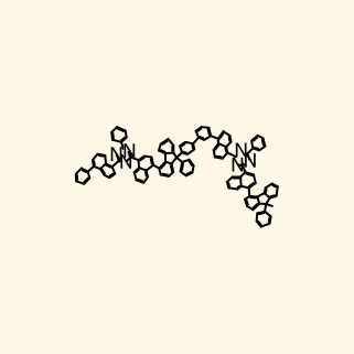 CC1(c2ccccc2)c2ccccc2-c2c(-c3ccc(-c4nc(-c5ccccc5)nc(-c5cccc6c(-c7cccc(-c8ccc(C9(c%10ccccc%10)c%10ccccc%10-c%10c(-c%11ccc(-c%12nc(-c%13ccccc%13)nc(-c%13cccc%14c(-c%15ccccc%15)cccc%13%14)n%12)c%12ccccc%11%12)cccc%109)cc8)c7)cccc56)n4)c4ccccc34)cccc21